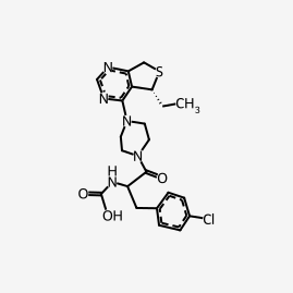 CC[C@H]1SCc2ncnc(N3CCN(C(=O)C(Cc4ccc(Cl)cc4)NC(=O)O)CC3)c21